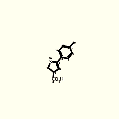 Cc1ccc(C2=CC(C(=O)O)CS2)cc1